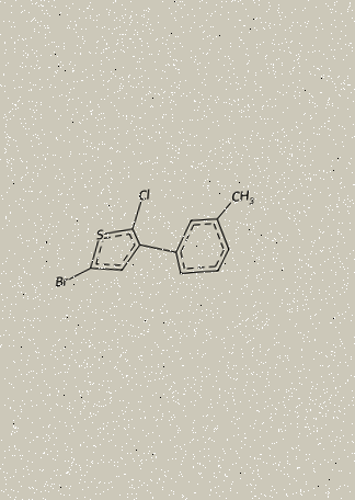 Cc1cccc(-c2cc(Br)sc2Cl)c1